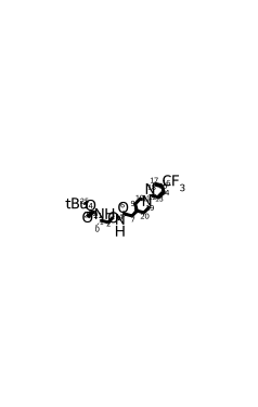 C[C@@H](CONC(=O)CC1CCN(c2ccc(C(F)(F)F)cn2)CC1)NC(=O)OC(C)(C)C